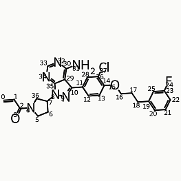 C=CC(=O)N1CCC(n2nc(-c3ccc(OCCCc4cccc(F)c4)c(Cl)c3)c3c(N)ncnc32)C1